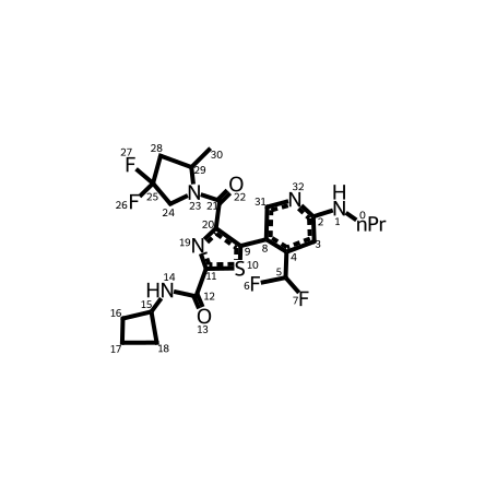 CCCNc1cc(C(F)F)c(-c2sc(C(=O)NC3CCC3)nc2C(=O)N2CC(F)(F)CC2C)cn1